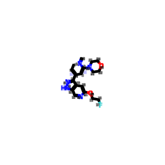 C=N/C(=C\C(=C/C)c1n[nH]c2cnc(OCCF)cc12)N1CCOCC1